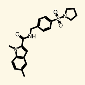 Cc1ccc2c(c1)cc(C(=O)NCc1ccc(S(=O)(=O)N3CCCC3)cc1)n2C